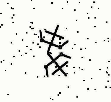 CO[Si](C[Si](OC)(OC)C(C)(C)C)(OC)C(C)(C)C